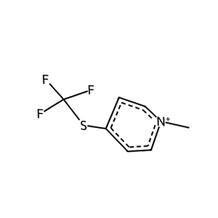 C[n+]1ccc(SC(F)(F)F)cc1